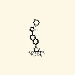 CC1(C)OB(c2ccc3cc(-c4cnc([C@H]5CCCOC5)[nH]4)ccc3c2)OC1(C)C